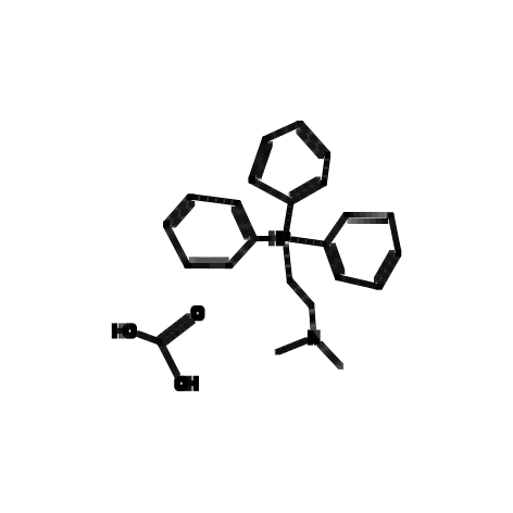 CN(C)CC[PH](c1ccccc1)(c1ccccc1)c1ccccc1.O=C(O)O